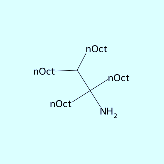 CCCCCCCCC(CCCCCCCC)C(N)(CCCCCCCC)CCCCCCCC